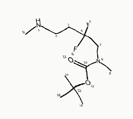 CNCCC(F)(F)CN(C)C(=O)OC(C)(C)C